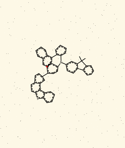 CC1(C)c2ccccc2-c2ccc(N(c3ccc(-c4ccc5ccc6sc7ccccc7c6c5c4)cc3)c3ccccc3-c3cccc4ccccc34)cc21